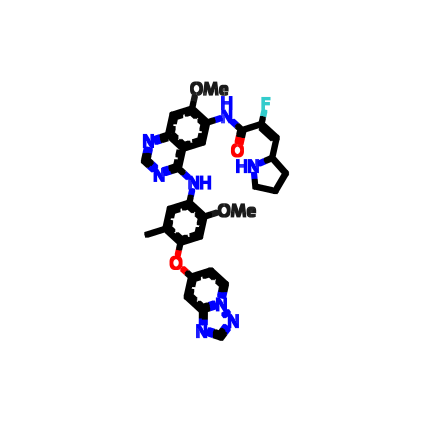 COc1cc2ncnc(Nc3cc(C)c(Oc4ccn5ncnc5c4)cc3OC)c2cc1NC(=O)/C(F)=C\C1CCCN1